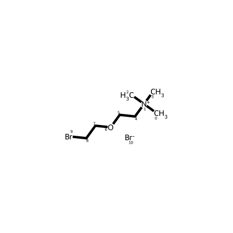 C[N+](C)(C)CCOCCBr.[Br-]